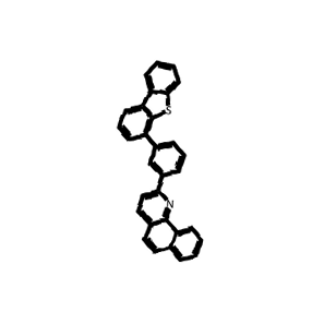 c1cc(-c2ccc3ccc4ccccc4c3n2)cc(-c2cccc3c2sc2ccccc23)c1